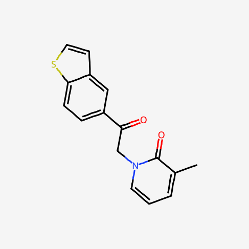 Cc1cccn(CC(=O)c2ccc3sccc3c2)c1=O